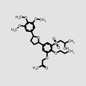 CCCOc1c(OCC(C)=O)cc(C2CCC(c3cc(OC)c(OC)c(OC)c3)O2)cc1S(=O)(=O)CC(C)O